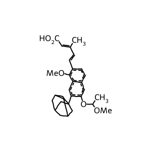 COc1c(C=CC(C)=CC(=O)O)ccc2cc(OC(C)OC)c(C34CC5CC(CC(C5)C3)C4)cc12